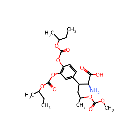 CCC(C)OC(=O)Oc1ccc(C(CC(C)OC(=O)OC)[C@H](N)C(=O)O)cc1OC(=O)OC(C)CC